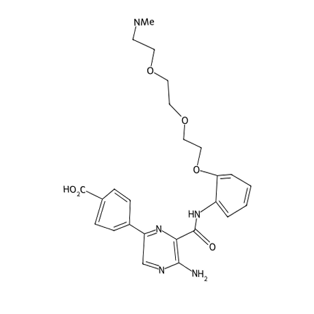 CNCCOCCOCCOc1ccccc1NC(=O)c1nc(-c2ccc(C(=O)O)cc2)cnc1N